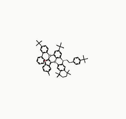 Cc1ccc2sc3c(c2c1)B1c2cc4c(cc2C(CCc2ccc(C(C)(C)C)cc2)c2cc(C(C)(C)C)cc(c21)N3c1ccc(C(C)(C)C)cc1-c1ccccc1)C(C)(C)CCC4(C)C